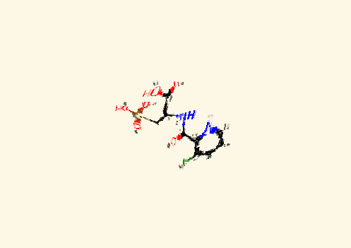 O=C(NC(CS(=O)(=O)O)C(=O)O)c1ncccc1F